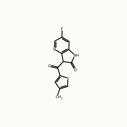 Cc1csc(C(=O)C2C(=O)Nc3cc(F)cnc32)c1